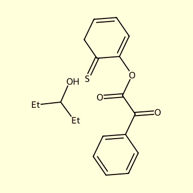 CCC(O)CC.O=C(OC1=CC=CCC1=S)C(=O)c1ccccc1